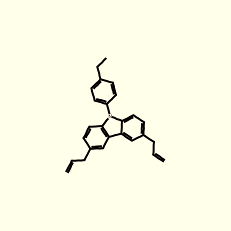 C=CCc1ccc2c(c1)c1cc(CC=C)ccc1n2-c1ccc(CC)cc1